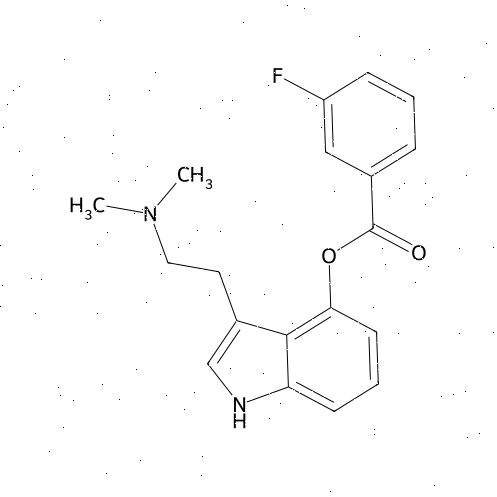 CN(C)CCc1c[nH]c2cccc(OC(=O)c3cccc(F)c3)c12